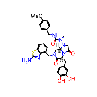 COc1ccc(CNC(=O)N(C)N2CC(=O)N3[C@@H](Cc4ccc(O)c(O)c4)C(=O)N(Cc4cccc5sc(N)nc45)C[C@@H]32)cc1